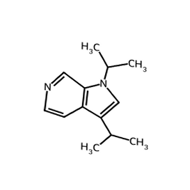 CC(C)c1cn(C(C)C)c2cnccc12